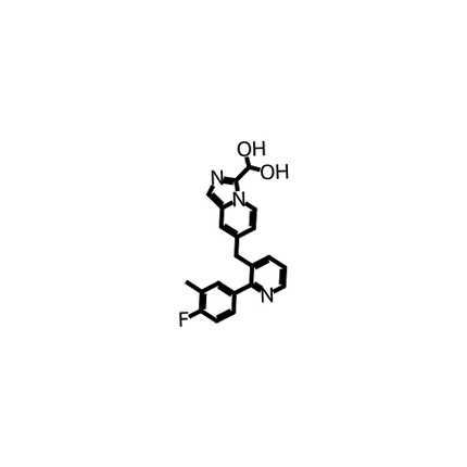 Cc1cc(-c2ncccc2Cc2ccn3c(C(O)O)ncc3c2)ccc1F